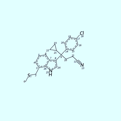 CSCc1cccc2c(C(CCC#N)(c3ccc(Cl)cc3)C3CC3)c[nH]c12